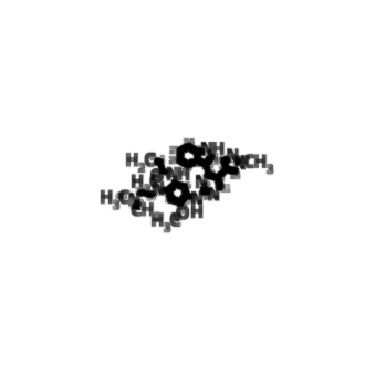 C=CC(=O)Nc1cc(Nc2ncc(-c3cnn(C)c3)c(-c3c[nH]c4ccccc34)n2)c(OC)cc1N(C)CCN(C)C